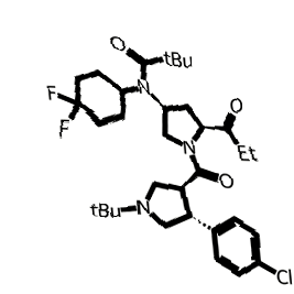 CCC(=O)[C@@H]1C[C@H](N(C(=O)C(C)(C)C)C2CCC(F)(F)CC2)CN1C(=O)[C@@H]1CN(C(C)(C)C)C[C@H]1c1ccc(Cl)cc1